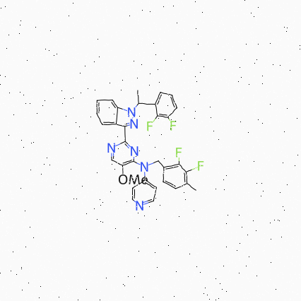 COc1cnc(-c2nn(C(C)c3cccc(F)c3F)c3ccccc23)nc1N(Cc1ccc(C)c(F)c1F)c1ccncc1